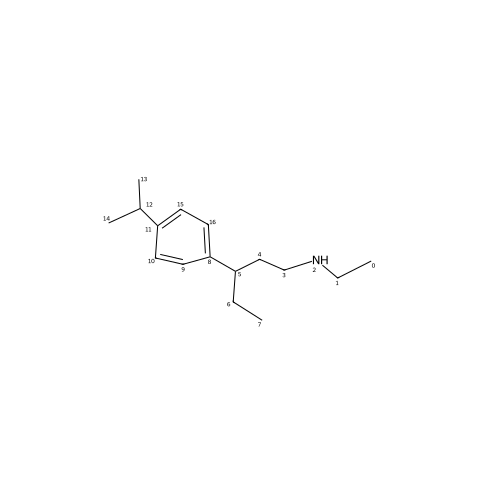 CCNCCC(CC)c1ccc(C(C)C)cc1